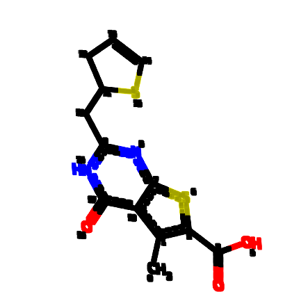 Cc1c(C(=O)O)sc2nc(CC3CC=CS3)[nH]c(=O)c12